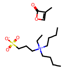 CC1=COC1=O.CCCC[N+](CC)(CCCC)CCCS(=O)(=O)[O-]